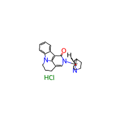 Cl.O=c1c2c3ccccc3n3c2c(cn1[C@@H]1CN2CCC1CC2)CCC3